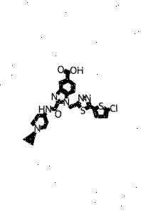 O=C(O)c1ccc2c(c1)nc(C(=O)NC1CCN(C3CC3)CC1)n2Cc1nnc(-c2ccc(Cl)s2)s1